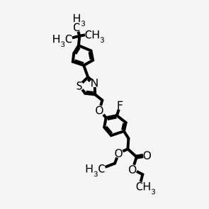 CCOC(=O)C(Cc1ccc(OCc2csc(-c3ccc(C(C)(C)C)cc3)n2)c(F)c1)OCC